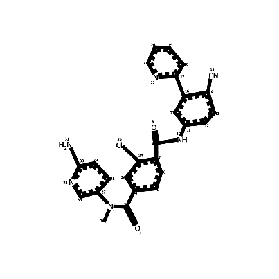 CN(C(=O)c1ccc(C(=O)Nc2ccc(C#N)c(-c3ccccn3)c2)c(Cl)c1)c1ccc(N)nc1